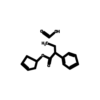 CCC(C(=O)OC1CC=CC1)c1ccccc1.O=CO